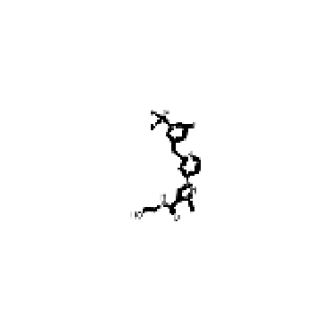 Cc1nn(-c2ccnc(Cc3cc(F)cc(C(F)(F)F)c3)c2)cc1C(=O)NCCO